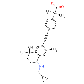 Cc1cc2c(cc1C#Cc1ccc(C(C)(C)C(=O)O)cc1)C(C)(C)CCC2NCC1CC1